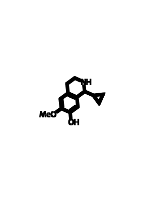 COc1cc2c(cc1O)C(C1CC1)NCC2